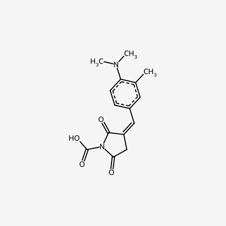 Cc1cc(/C=C2/CC(=O)N(C(=O)O)C2=O)ccc1N(C)C